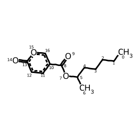 CCCCCC(C)OC(=O)c1ccc(=O)oc1